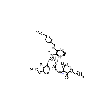 CCOC(=O)/C(N)=C/N(N)c1ccc(OC)c(F)c1CNC(=O)c1nccnc1NCC1CCN(C)CC1